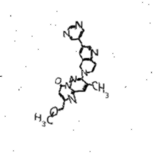 COCc1cc(=O)n2nc(N3CCc4ncc(-c5cncnc5)cc4C3)c(C)cc2n1